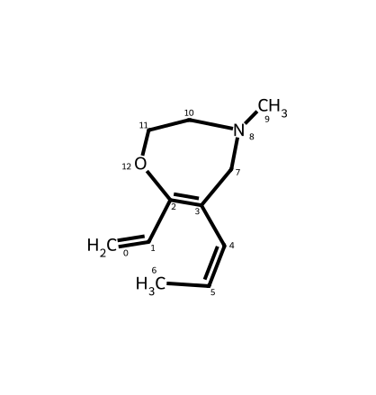 C=CC1=C(/C=C\C)CN(C)CCO1